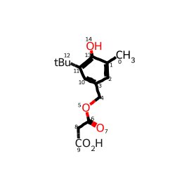 Cc1cc(COC(=O)CC(=O)O)cc(C(C)(C)C)c1O